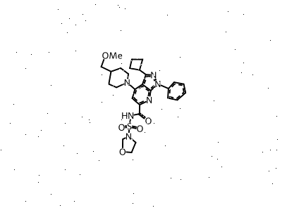 COCC1CCN(c2cc(C(=O)NS(=O)(=O)N3CCOC3)nc3c2c(C2CCC2)nn3-c2ccccc2)CC1